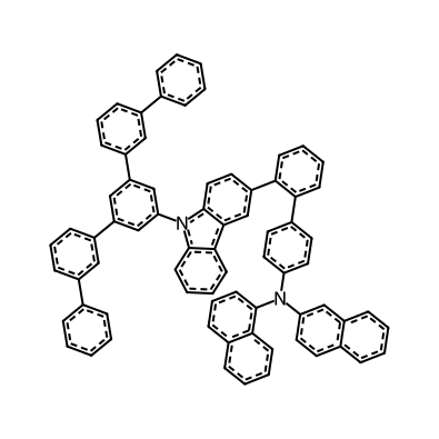 c1ccc(-c2cccc(-c3cc(-c4cccc(-c5ccccc5)c4)cc(-n4c5ccccc5c5cc(-c6ccccc6-c6ccc(N(c7ccc8ccccc8c7)c7cccc8ccccc78)cc6)ccc54)c3)c2)cc1